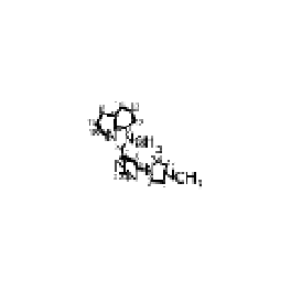 CN1CCN(c2cc(CN(C)C3CCCc4cccnc43)ncn2)CC1